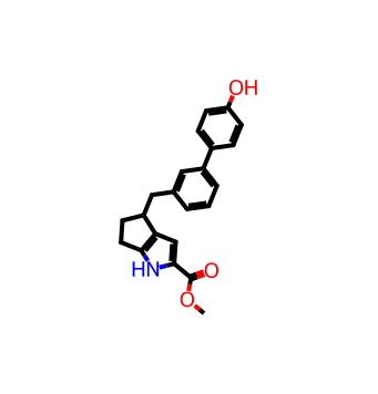 COC(=O)c1cc2c([nH]1)CCC2Cc1cccc(-c2ccc(O)cc2)c1